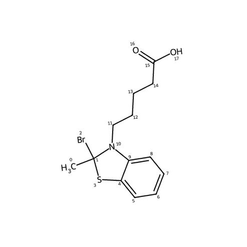 CC1(Br)Sc2ccccc2N1CCCCC(=O)O